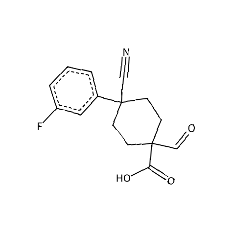 N#CC1(c2cccc(F)c2)CCC(C=O)(C(=O)O)CC1